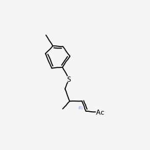 CC(=O)/C=C/C(C)CSc1ccc(C)cc1